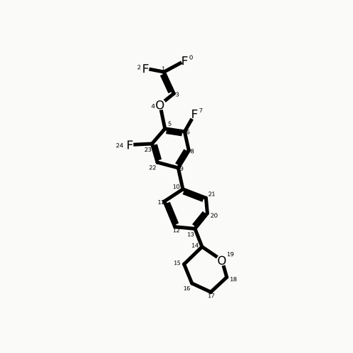 FC(F)=COc1c(F)cc(-c2ccc(C3CCCCO3)cc2)cc1F